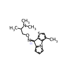 Cc1csc2c1-n1cccc1/C2=N/OCC(C)N(C)C